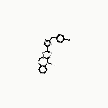 CN1C(=O)[C@@H](NC(=O)c2csc(Cc3ccc(Br)cc3)n2)COc2ccccc21